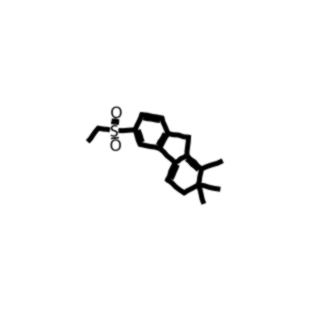 CCS(=O)(=O)c1ccc2c(c1)C1=CCC(C)(C)C(C)=C1C2